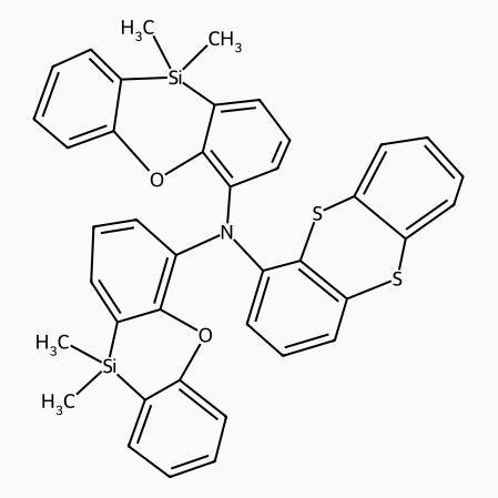 C[Si]1(C)c2ccccc2Oc2c(N(c3cccc4c3Oc3ccccc3[Si]4(C)C)c3cccc4c3Sc3ccccc3S4)cccc21